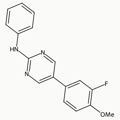 COc1ccc(-c2cnc(Nc3ccccc3)nc2)cc1F